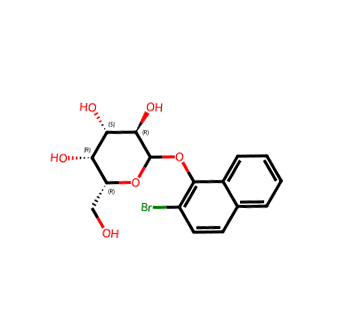 OC[C@H]1OC(Oc2c(Br)ccc3ccccc23)[C@H](O)[C@@H](O)[C@H]1O